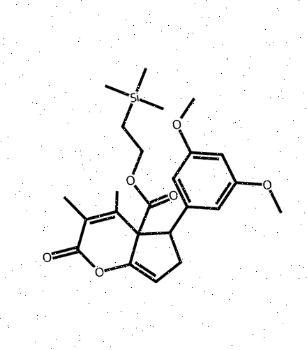 COc1cc(OC)cc(C2CC=C3OC(=O)C(C)=C(C)C32C(=O)OCC[Si](C)(C)C)c1